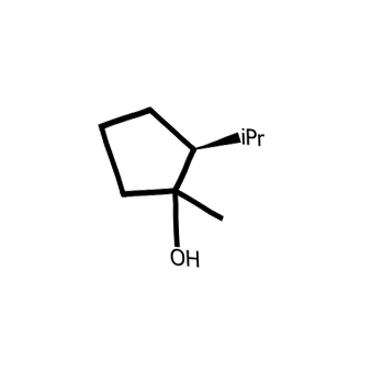 CC(C)[C@@H]1CCCC1(C)O